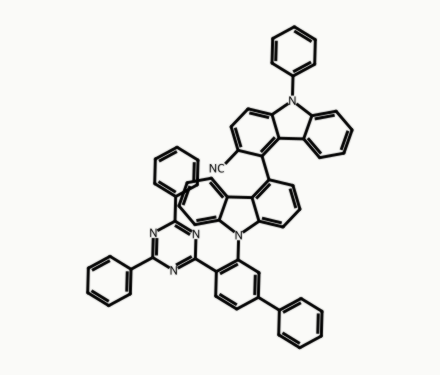 N#Cc1ccc2c(c1-c1cccc3c1c1ccccc1n3-c1cc(-c3ccccc3)ccc1-c1nc(-c3ccccc3)nc(-c3ccccc3)n1)c1ccccc1n2-c1ccccc1